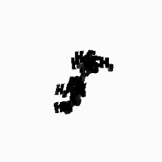 C=S(=O)(c1ccc(-c2cnc(N)c(-c3nnc(-c4ccc(C5CCCN5)s4)o3)n2)cc1)C(C)C